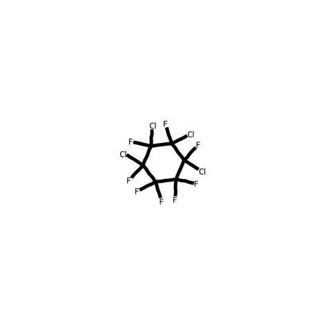 FC1(F)C(F)(F)C(F)(Cl)C(F)(Cl)C(F)(Cl)C1(F)Cl